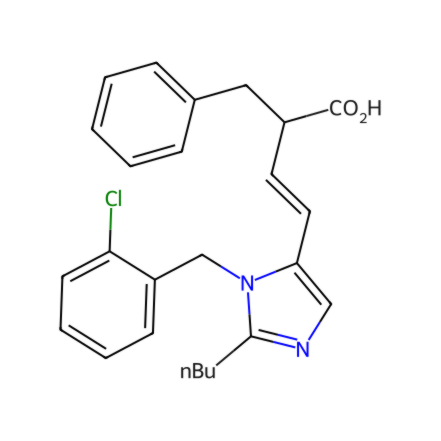 CCCCc1ncc(C=CC(Cc2ccccc2)C(=O)O)n1Cc1ccccc1Cl